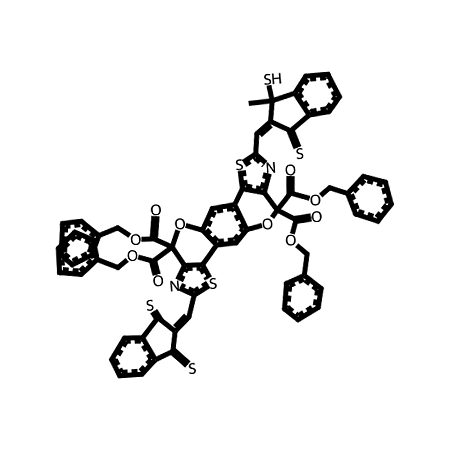 CC1(S)/C(=C/c2nc3c(s2)-c2cc4c(cc2OC3(C(=O)OCc2ccccc2)C(=O)OCc2ccccc2)-c2sc(C=C3C(=S)c5ccccc5C3=S)nc2C(C(=O)OCc2ccccc2)(C(=O)OCc2ccccc2)O4)C(=S)c2ccccc21